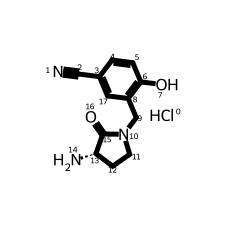 Cl.N#Cc1ccc(O)c(CN2CC[C@H](N)C2=O)c1